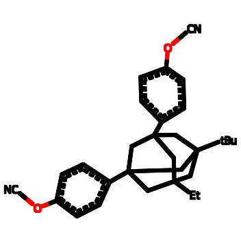 CCC12CC3(c4ccc(OC#N)cc4)CC(c4ccc(OC#N)cc4)(C1)CC(C(C)(C)C)(C2)C3